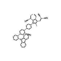 C#C/C(C#N)=C\c1c(C=C)c(/C(C#N)=C\C)n(-c2ccc(-c3ccc(-c4ccccc4-n4c5ccccc5c5ccccc54)cc3C#N)cc2)c1C